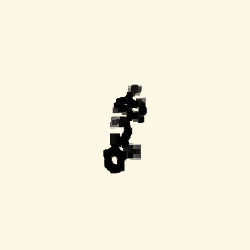 CC(C)c1cnn2c(NCc3nc4ccccc4[nH]3)ncnc12